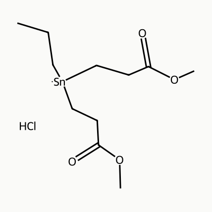 CC[CH2][Sn]([CH2]CC(=O)OC)[CH2]CC(=O)OC.Cl